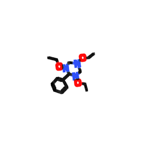 CCON1CN(OCC)C(c2ccccc2)N(OCC)C1